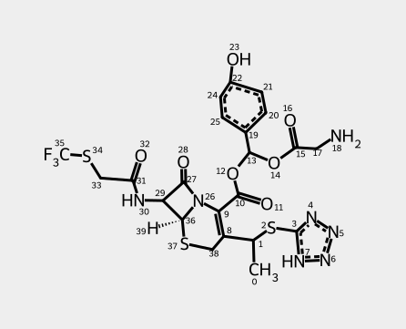 CC(Sc1nnn[nH]1)C1=C(C(=O)OC(OC(=O)CN)c2ccc(O)cc2)N2C(=O)C(NC(=O)CSC(F)(F)F)[C@@H]2SC1